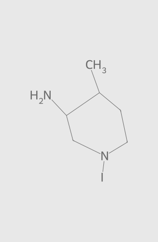 CC1CCN(I)CC1N